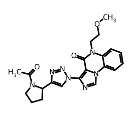 COCCn1c(=O)c2c(-n3cc(C4CCCN4C(C)=O)nn3)ncn2c2ccccc21